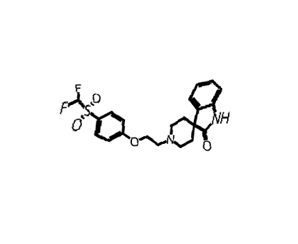 O=C1Nc2ccccc2C12CCN(CCOc1ccc(S(=O)(=O)C(F)F)cc1)CC2